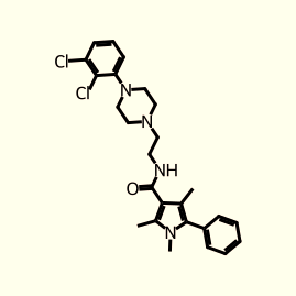 Cc1c(C(=O)NCCN2CCN(c3cccc(Cl)c3Cl)CC2)c(C)n(C)c1-c1ccccc1